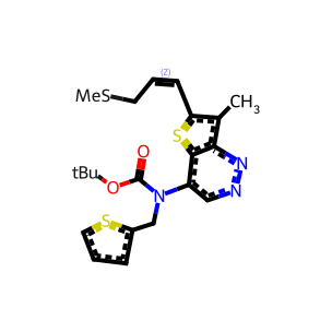 CSC/C=C\c1sc2c(N(Cc3cccs3)C(=O)OC(C)(C)C)cnnc2c1C